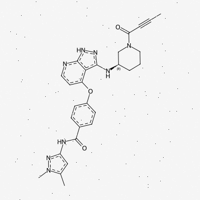 CC#CC(=O)N1CCC[C@@H](Nc2n[nH]c3nccc(Oc4ccc(C(=O)Nc5cc(C)n(C)n5)cc4)c23)C1